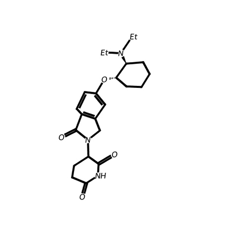 CCN(CC)[C@H]1CCCC[C@@H]1Oc1ccc2c(c1)CN(C1CCC(=O)NC1=O)C2=O